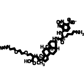 C[C@H](CC(CCOCCOCCN=[N+]=[N-])C(=O)O)C1CCC2C3CC[C@@H]4C[C@H](NC(=O)[C@H](CCCCN)Nc5ccc([N+](=O)[O-])c6nonc56)CC[C@]4(C)C3CC[C@@]21C